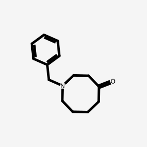 O=C1CCCCN(Cc2ccccc2)CC1